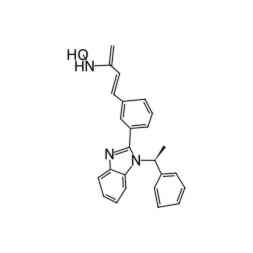 C=C(/C=C/c1cccc(-c2nc3ccccc3n2[C@@H](C)c2ccccc2)c1)NO